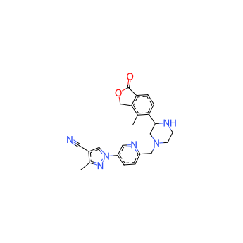 Cc1nn(-c2ccc(CN3CCNC(c4ccc5c(c4C)COC5=O)C3)nc2)cc1C#N